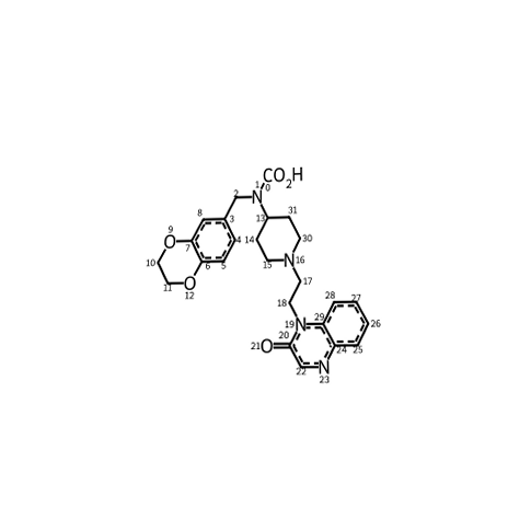 O=C(O)N(Cc1ccc2c(c1)OCCO2)C1CCN(CCn2c(=O)cnc3ccccc32)CC1